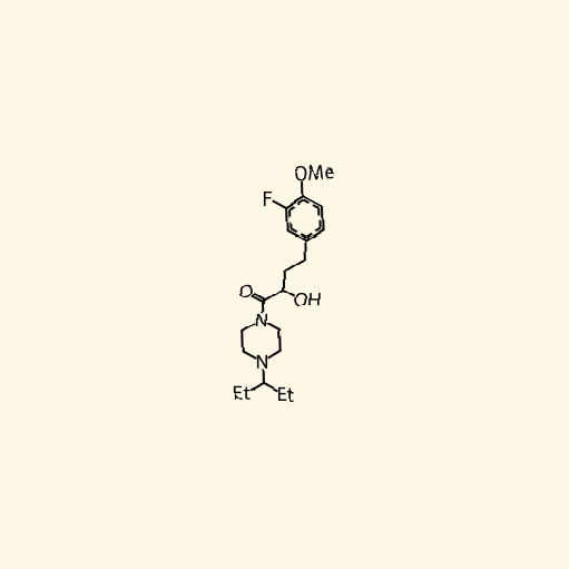 CCC(CC)N1CCN(C(=O)C(O)CCc2ccc(OC)c(F)c2)CC1